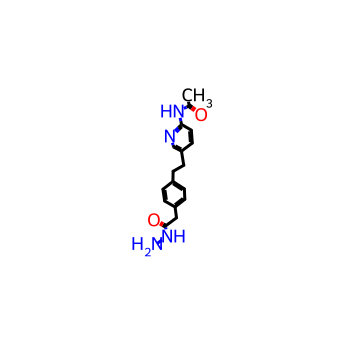 CC(=O)Nc1ccc(CCc2ccc(CC(=O)NN)cc2)cn1